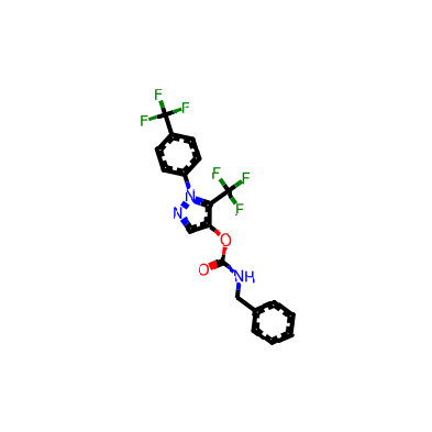 O=C(NCc1ccccc1)Oc1cnn(-c2ccc(C(F)(F)F)cc2)c1C(F)(F)F